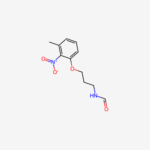 Cc1cccc(OCCCNC=O)c1[N+](=O)[O-]